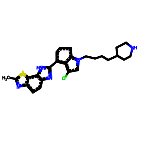 Cc1nc2ccc3nc(-c4cccc5c4c(Cl)cn5CCCCC4CCNCC4)[nH]c3c2s1